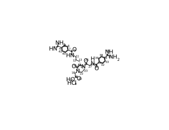 Cl.N=C(N)c1ccc(C(=O)NCCC[C@H]2C(=O)N(CC(=O)O)CCN2C(=O)CNC(=O)c2ccc(C(=N)N)cc2)cc1